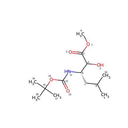 COC(=O)C(O)[C@H](CC(C)C)NC(=O)OC(C)(C)C